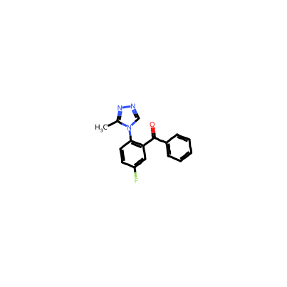 Cc1nncn1-c1ccc(F)cc1C(=O)c1ccccc1